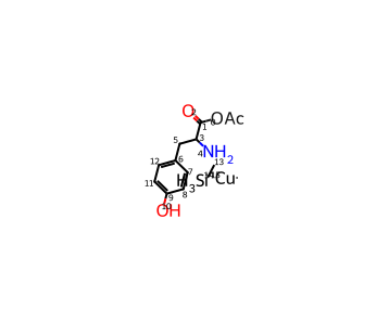 CC(=O)OC(=O)C(N)Cc1ccc(O)cc1.C[SiH3].[Cu]